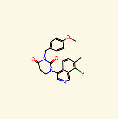 COc1ccc(CN2C(=O)CCN(c3cncc4c(Br)c(C)ccc34)C2=O)cc1